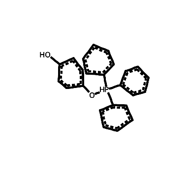 Oc1ccc(O[PH](c2ccccc2)(c2ccccc2)c2ccccc2)cc1